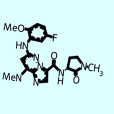 CNc1cc(Nc2cc(F)ccc2OC)nn2c(C(=O)N[C@@H]3CCN(C)C3=O)cnc12